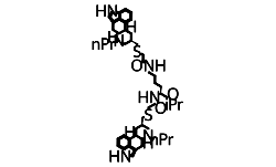 CCCN1C[C@H](CSCC(=O)NCCCC[C@H](NC(=O)CSC[C@@H]2C[C@@H]3c4cccc5[nH]cc(c45)C[C@H]3N(CCC)C2)C(=O)C(C)C)C[C@@H]2c3cccc4[nH]cc(c34)C[C@H]21